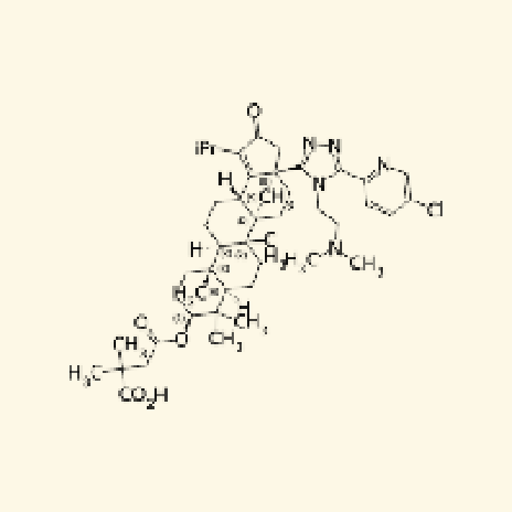 CC(C)C1=C2[C@H]3CC[C@@H]4[C@@]5(C)CC[C@H](OC(=O)CC(C)(C)C(=O)O)C(C)(C)[C@@H]5CC[C@@]4(C)[C@]3(C)CC[C@@]2(c2nnc(-c3ccc(Cl)cn3)n2CCN(C)C)CC1=O